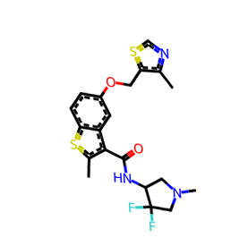 Cc1ncsc1COc1ccc2sc(C)c(C(=O)NC3CN(C)CC3(F)F)c2c1